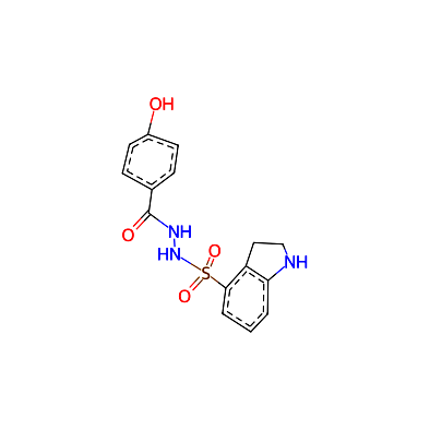 O=C(NNS(=O)(=O)c1cccc2c1CCN2)c1ccc(O)cc1